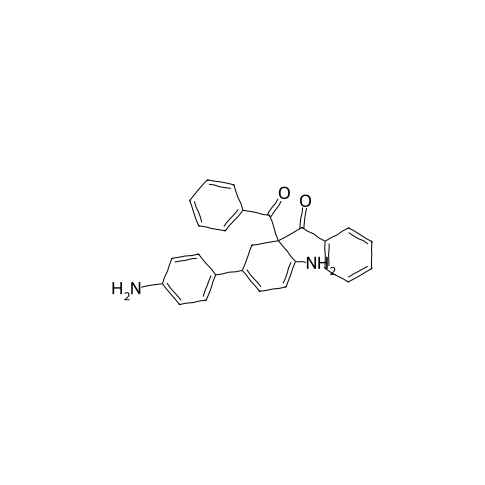 NC1=CC=C(c2ccc(N)cc2)CC1(C(=O)c1ccccc1)C(=O)c1ccccc1